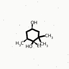 CC[C@@]1(O)[C@@H](C)C[C@@H](O)CC1(C)C